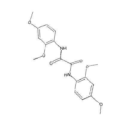 COc1ccc(NC(=O)C(=O)Nc2ccc(OC)cc2OC)c(OC)c1